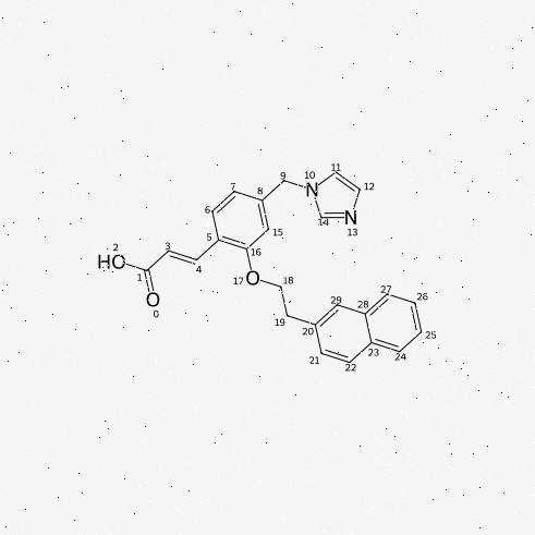 O=C(O)C=Cc1ccc(Cn2ccnc2)cc1OCCc1ccc2ccccc2c1